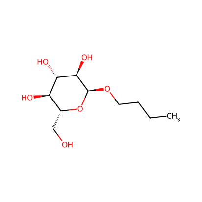 CCCCO[C@H]1O[C@H](CO)[C@@H](O)[C@H](O)[C@H]1O